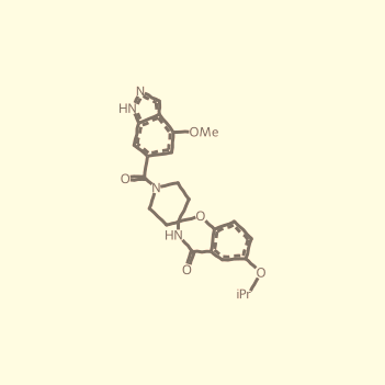 COc1cc(C(=O)N2CCC3(CC2)NC(=O)c2cc(OC(C)C)ccc2O3)cc2[nH]ncc12